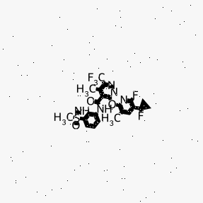 Cc1cc(C2(F)CC2)c(F)nc1Oc1nnc(C(F)(F)F)c(C)c1C(=O)Nc1cccc(S(C)(=N)=O)c1